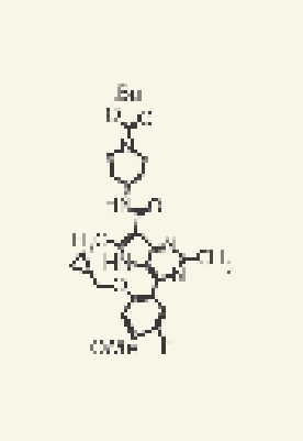 COc1cc(OCC2CC2)c(-c2nc(C)nc3c(C(=O)NC4CCN(C(=O)OC(C)(C)C)CC4)c(C)[nH]c23)cc1F